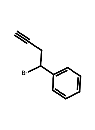 C#CCC(Br)c1ccccc1